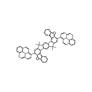 CC1(C)c2cc3c(cc2-c2c1cc(C1=C4C=Cc5cccc6c5C4C(=CC6)C=C1)c1oc4ccccc4c21)C(C)(C)c1cc(C2=C4C=Cc5cccc6c5C4C(=CC6)C=C2)c2oc4ccccc4c2c1-3